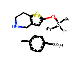 CC(C)[Si](Oc1cc2c(s1)CCNC2)(C(C)C)C(C)C.Cc1ccc(S(=O)(=O)O)cc1